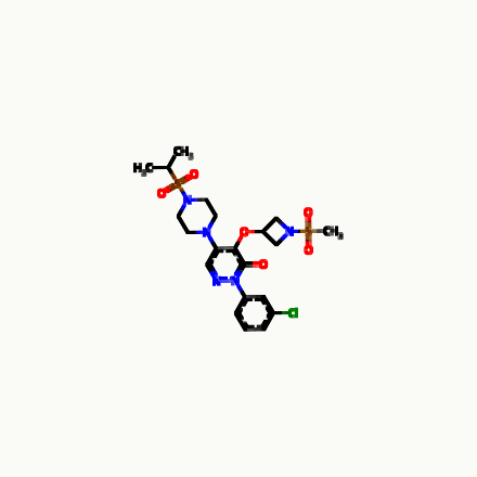 CC(C)S(=O)(=O)N1CCN(c2cnn(-c3cccc(Cl)c3)c(=O)c2OC2CN(S(C)(=O)=O)C2)CC1